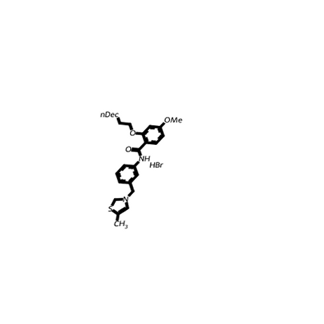 Br.CCCCCCCCCCCCOc1cc(OC)ccc1C(=O)Nc1cccc(CN2C=C(C)SC2)c1